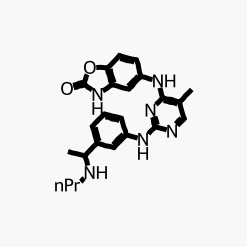 CCCNC(C)c1cccc(Nc2ncc(C)c(Nc3ccc4oc(=O)[nH]c4c3)n2)c1